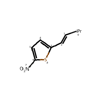 CC(C)/C=C/c1ccc([N+](=O)[O-])s1